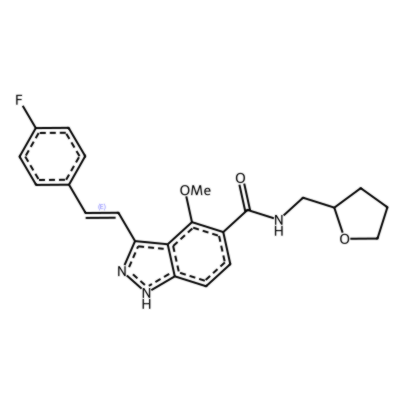 COc1c(C(=O)NCC2CCCO2)ccc2[nH]nc(/C=C/c3ccc(F)cc3)c12